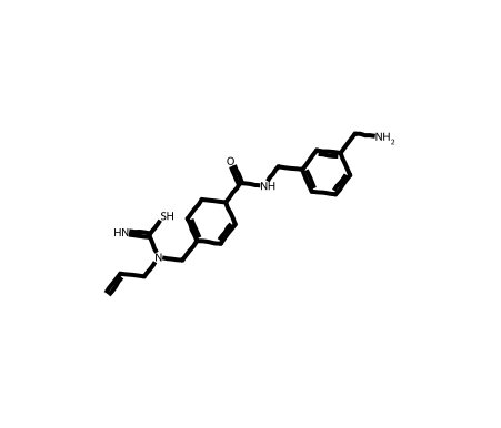 C=CCN(CC1=CCC(C(=O)NCc2cccc(CN)c2)C=C1)C(=N)S